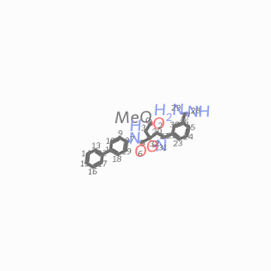 COC(=O)CC1(C(=O)Nc2ccc(-c3ccccc3)cc2)CC(c2cccc(C(=N)N)c2)=NO1